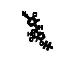 Cc1c(NC(=O)N2CC[C@H](O[Si](C)(C)C(C)(C)C)[C@@]2(C)C(=O)O)ccc(C#N)c1Cl